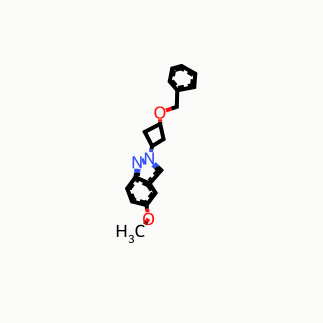 COc1ccc2nn(C3CC(OCc4ccccc4)C3)cc2c1